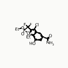 CCOP(=O)(OCC)C(F)(F)c1sc2c(O)cc(C(N)=O)cc2c1Cl